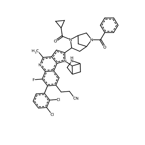 Cc1nc2c(F)c(-c3cccc(Cl)c3Cl)c(CCC#N)cc2c2c1cc(C1CC3CC(CN3C(=O)c3ccccc3)N1C(=O)C1CC1)n2C1C2CNC1C2